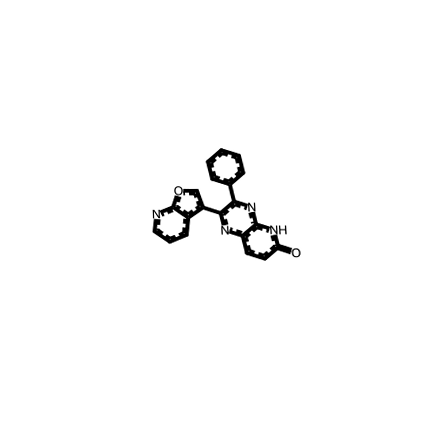 O=c1ccc2nc(-c3coc4ncccc34)c(-c3ccccc3)nc2[nH]1